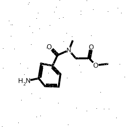 COC(=O)CN(C)C(=O)c1cccc(N)c1